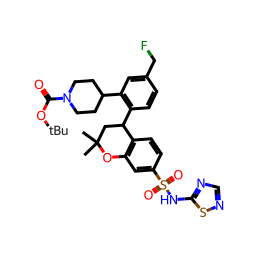 CC(C)(C)OC(=O)N1CCC(c2cc(CF)ccc2C2CC(C)(C)Oc3cc(S(=O)(=O)Nc4ncns4)ccc32)CC1